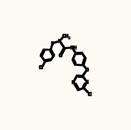 CN(Sc1ccc(Cl)cc1)C(=O)Nc1ccc(Oc2cncc(Cl)n2)cc1